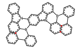 c1ccc(-c2ccccc2B2c3cc4c(cc3-n3c5ccccc5c5cccc2c53)c2cccc3c2n4-c2ccccc2B3c2ccccc2-c2ccccc2)cc1